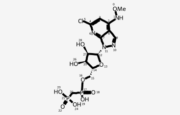 CONc1cc(Cl)nc2c1cnn2[C@@H]1O[C@H](COP(=O)(O)CP(=O)(O)O)[C@@H](O)[C@H]1O